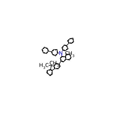 Cc1cccc2cc(-c3ccc4c(c3)C(C)(C)c3ccccc3-4)cc(N(c3ccc(-c4ccccc4)cc3)c3ccc(-c4ccccc4)cc3)c12